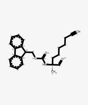 C#CCCCCC[C@@](C)(C=O)NC(=O)OCC1c2ccccc2-c2ccccc21